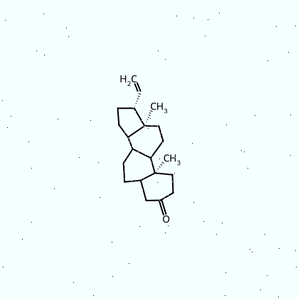 C=C[C@H]1CCC2C3CCC4CC(=O)CC[C@]4(C)C3CC[C@@]21C